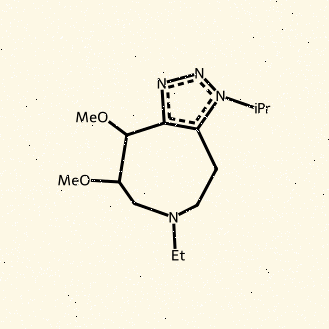 CCN1CCc2c(nnn2C(C)C)C(OC)C(OC)C1